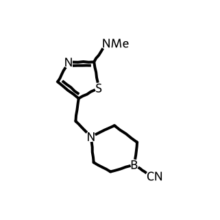 CNc1ncc(CN2CCB(C#N)CC2)s1